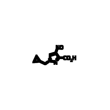 O=Nc1cn(CC2CC2)nc1C(=O)O